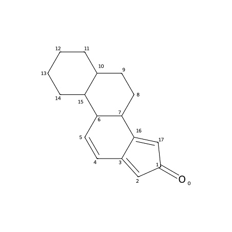 O=C1C=C2C=CC3C(CCC4CCCCC43)C2=C1